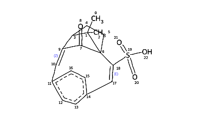 CC1(C)C2CCC13C(=O)/C2=C\c1ccc(cc1)/C=C\3S(=O)(=O)O